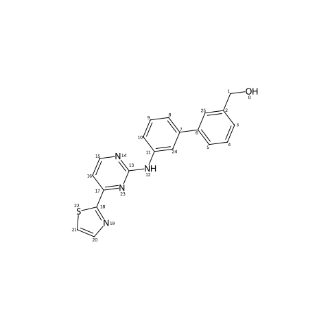 OCc1cccc(-c2cccc(Nc3nccc(-c4nccs4)n3)c2)c1